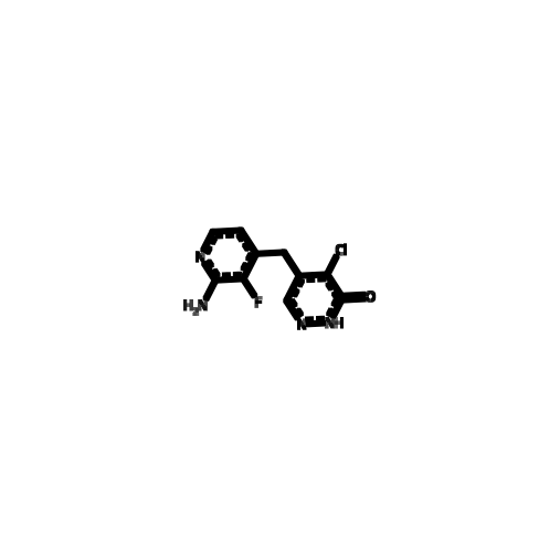 Nc1nccc(Cc2cn[nH]c(=O)c2Cl)c1F